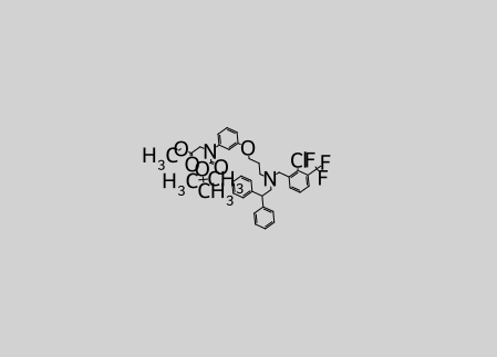 COC(=O)CN(C(=O)OC(C)(C)C)c1cccc(OCCCN(Cc2cccc(C(F)(F)F)c2Cl)CC(c2ccccc2)c2ccccc2)c1